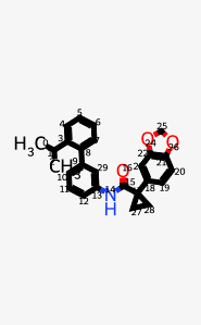 CC(C)c1ccccc1-c1cccc(NC(=O)C2(c3ccc4c(c3)OCO4)CC2)c1